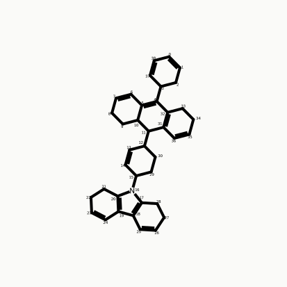 C1=CCC(C2=C3C=CCCC3C(C3C=CC(n4c5c(c6c4CCC=C6)C=CCC5)CC3)C3=C2CCC=C3)C=C1